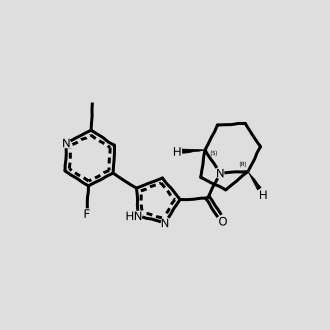 Cc1cc(-c2cc(C(=O)N3[C@@H]4CCC[C@H]3CC4)n[nH]2)c(F)cn1